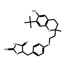 CC1(CCOc2ccc(CC3SC(=N)NC3=O)cc2)CCc2cc(O)c(C(C)(C)C)cc2O1